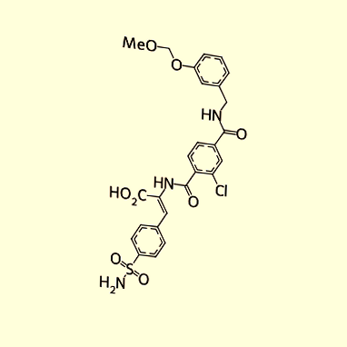 COCOc1cccc(CNC(=O)c2ccc(C(=O)NC(=Cc3ccc(S(N)(=O)=O)cc3)C(=O)O)c(Cl)c2)c1